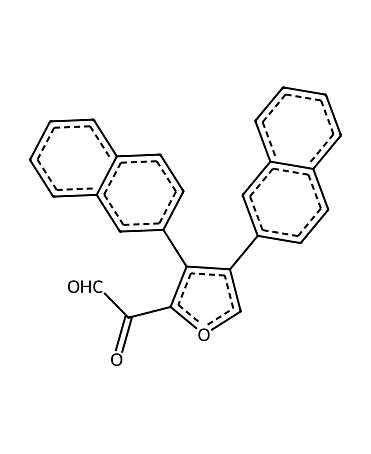 O=CC(=O)c1occ(-c2ccc3ccccc3c2)c1-c1ccc2ccccc2c1